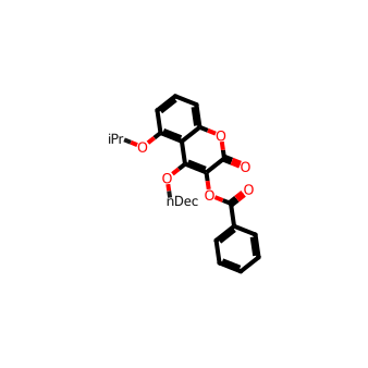 CCCCCCCCCCOc1c(OC(=O)c2ccccc2)c(=O)oc2cccc(OC(C)C)c12